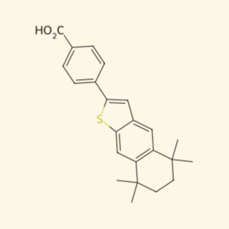 CC1(C)CCC(C)(C)c2cc3sc(-c4ccc(C(=O)O)cc4)cc3cc21